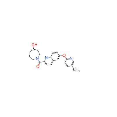 O=C(c1ccc2cc(Oc3ccc(C(F)(F)F)cn3)ccc2n1)N1CCCC(O)CC1